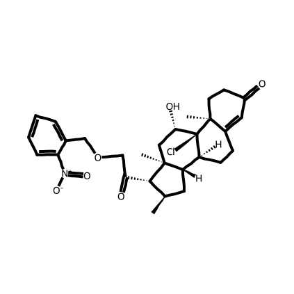 C[C@@H]1C[C@H]2[C@@H]3CCC4=CC(=O)CC[C@]4(C)[C@@]3(Cl)[C@@H](O)C[C@]2(C)[C@H]1C(=O)COCc1ccccc1[N+](=O)[O-]